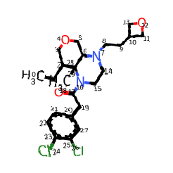 CCC1COCC2N(CCC3COC3)CCN(C(=O)Cc3ccc(Cl)c(Cl)c3)C12C